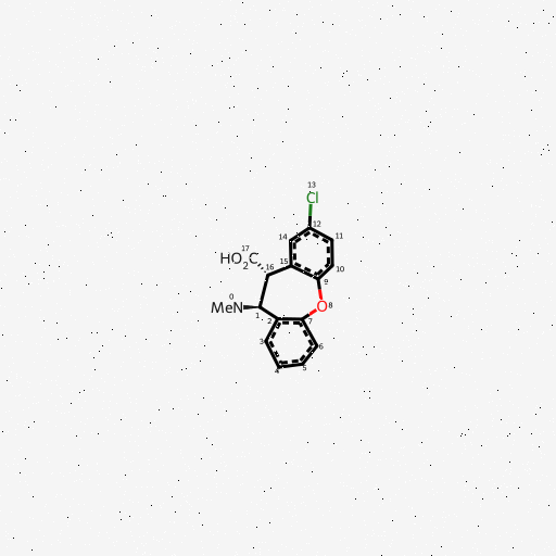 CN[C@@H]1c2ccccc2Oc2ccc(Cl)cc2[C@H]1C(=O)O